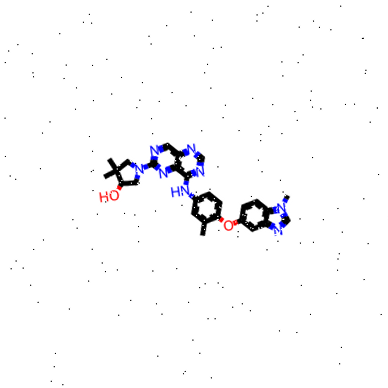 Cc1cc(Nc2ncnc3cnc(N4CC(O)C(C)(C)C4)nc23)ccc1Oc1ccc2c(c1)ncn2C